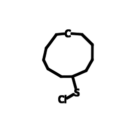 ClSC1CCCCCCCCCC1